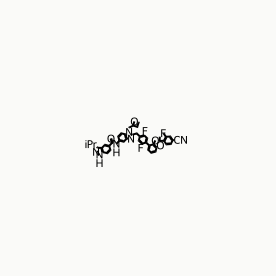 CC(C)c1n[nH]c2ccc(C(=O)Nc3ccc4c(c3)nc(Cc3cc(F)c(-c5cccc6c5OC(C)(c5ccc(C#N)cc5F)O6)cc3F)n4CC3CCO3)cc12